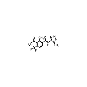 Cc1c(C(=O)Nc2nnnn2C)ccc(C(F)(F)F)c1C(=O)C1CC1